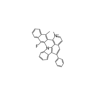 Cc1c2ccccc2c(F)c2c1c1c3c(cc[n+]1C)cc(-c1ccccc1)c1c4ccccc4n2c13